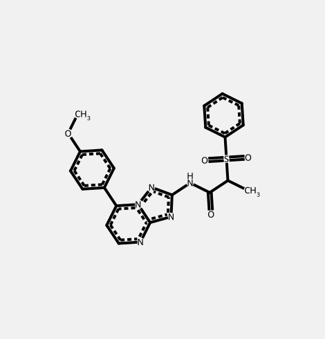 COc1ccc(-c2ccnc3nc(NC(=O)C(C)S(=O)(=O)c4ccccc4)nn23)cc1